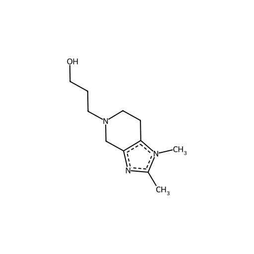 Cc1nc2c(n1C)CCN(CCCO)C2